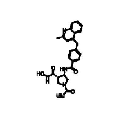 Cc1cc(Cc2ccc(C(=O)N[C@@H]3CN(C(=O)C(C)(C)C)C[C@@H]3C(=O)NO)cc2)c2ccccc2n1